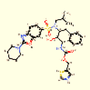 CC(C)CN(C(Cc1ccccc1)C(O)CNC(=O)OCc1cncs1)S(=O)(=O)c1ccc2nc(N3CCCCC3)oc2c1